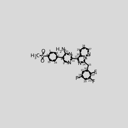 CS(=O)(=O)c1ccc(-c2cnc(-c3nc(Cc4cc(F)cc(F)c4F)n4ncccc34)nc2N)cc1